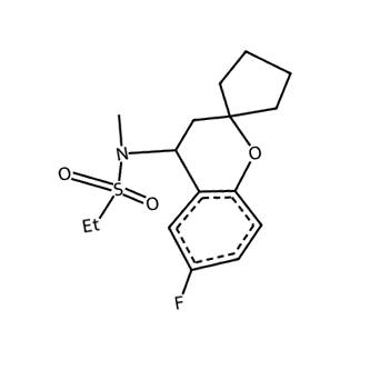 CCS(=O)(=O)N(C)C1CC2(CCCC2)Oc2ccc(F)cc21